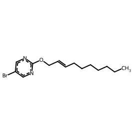 CCCCCCCC=CCOc1ncc(Br)cn1